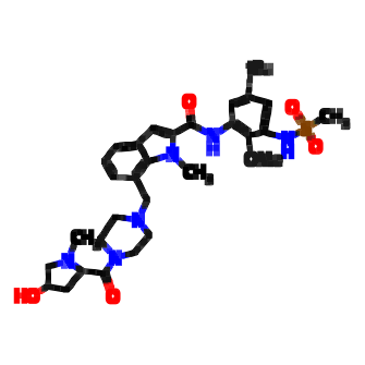 COc1c(NC(=O)c2cc3cccc(CN4CCN(C(=O)C5CC(O)CN5C)CC4)c3n2C)cc(C(C)(C)C)cc1NS(C)(=O)=O